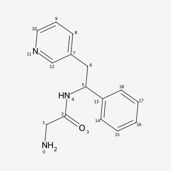 NCC(=O)NC(Cc1cccnc1)c1ccccc1